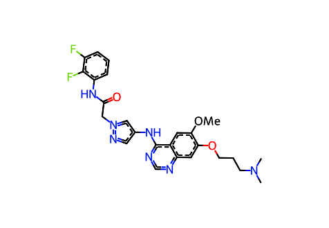 COc1cc2c(Nc3cnn(CC(=O)Nc4cccc(F)c4F)c3)ncnc2cc1OCCCN(C)C